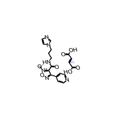 O=C(NCCCn1ccnc1)c1c(-c2ccncc2)no[n+]1[O-].O=C(O)/C=C/C(=O)O